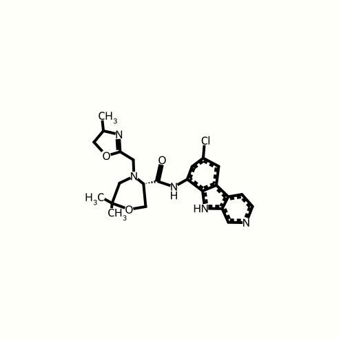 CC1COC(CN2CC(C)(C)OC[C@H]2C(=O)Nc2cc(Cl)cc3c2[nH]c2cnccc23)=N1